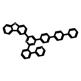 c1ccc(-c2ccc(-c3ccc(-c4cc(-c5ccc6oc7ccccc7c6c5)nc(-c5ccccc5-c5cccnc5)n4)cc3)cc2)cc1